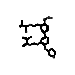 C=C(C)C(=C)OCCc1cc(-c2ccc(OCCCCCCCCCC)c(CCOC(=O)C(=C)C)c2)ccc1OC1CCOC1